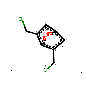 ClCc1cc2cc(CCl)c1o2